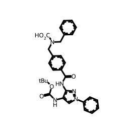 CC(C)(C)OC(=O)Nc1cn(-c2ccccc2)nc1NC(=O)c1ccc(CN(Cc2ccccc2)C(=O)O)cc1